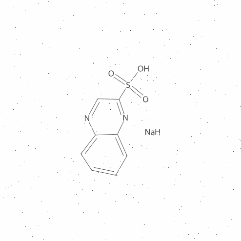 O=S(=O)(O)c1cnc2ccccc2n1.[NaH]